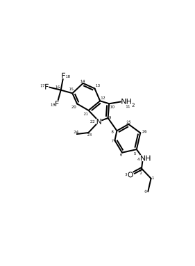 CCC(=O)Nc1ccc(-c2c(N)c3ccc(C(F)(F)F)cc3n2CC)cc1